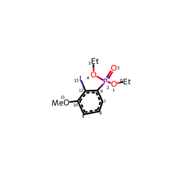 CCOP(=O)(OCC)c1cccc(OC)c1I